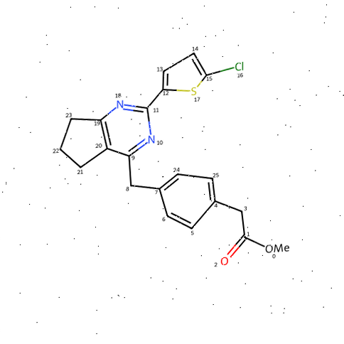 COC(=O)Cc1ccc(Cc2nc(-c3ccc(Cl)s3)nc3c2CCC3)cc1